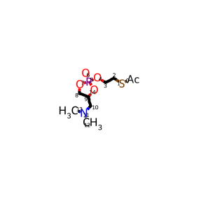 CC(=O)SCCOP1(=O)OCC(CN(C)C)O1